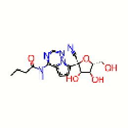 CCCC(=O)Nc1ncnn2c([C@]3(C#N)O[C@H](CO)[C@@H](O)[C@H]3O)ccc12